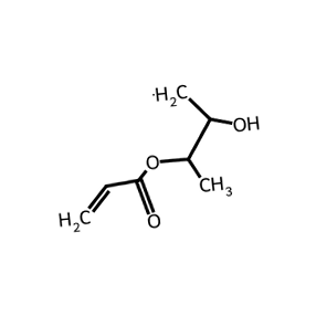 [CH2]C(O)C(C)OC(=O)C=C